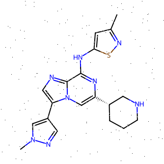 Cc1cc(Nc2nc([C@H]3CCCNC3)cn3c(-c4cnn(C)c4)cnc23)sn1